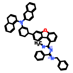 C=N/C(=N\C(=N/Cc1ccccc1)c1ccccc1)c1cccc2oc3cc(C4C=C(N(C5=C6C=CC=CC6CC=C5)c5ccc6ccccc6c5)C=CC4)ccc3c12